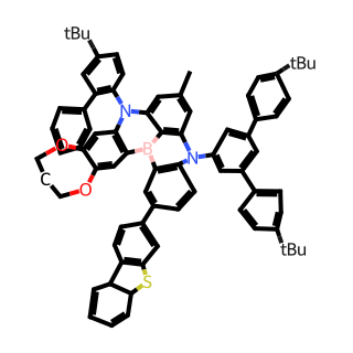 Cc1cc2c3c(c1)N(c1ccc(C(C)(C)C)cc1-c1ccccc1)c1cc4c(cc1B3c1cc(-c3ccc5c(c3)SC3C=CC=CC53)ccc1N2c1cc(-c2ccc(C(C)(C)C)cc2)cc(-c2ccc(C(C)(C)C)cc2)c1)OCCCO4